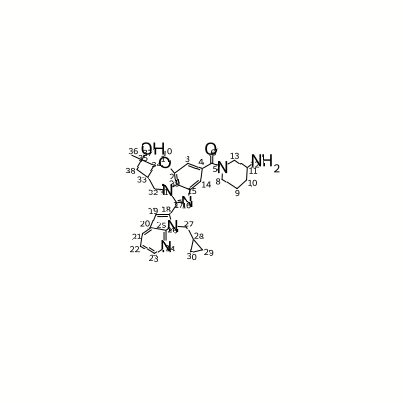 COc1cc(C(=O)N2CCCC(N)C2)cc2nc(-c3cc4cccnc4n3CC3CC3)n(CC3CC(C)(O)C3)c12